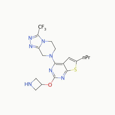 CCCc1cc2c(N3CCn4c(nnc4C(F)(F)F)C3)nc(OC3CNC3)nc2s1